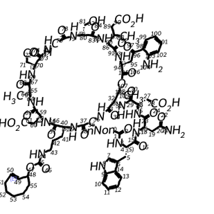 CCCCCCCCCC(=O)N[C@@H](Cc1c[nH]c2ccccc12)C(=O)N[C@H](CC(N)=O)C(=O)N[C@@H](CC(=O)O)C(=O)N[C@@H]1C(=O)NCC(=O)N[C@@H](CCCNC(=O)OC2/C=C/CCCCC2)C(=O)N[C@@H](CC(=O)O)C(=O)N[C@H](C)C(=O)N[C@@H](CC(=O)O)C(=O)NCC(=O)N[C@H](CO)C(=O)N[C@@H](C(C)CC(=O)O)C(=O)N[C@@H](CC(=O)c2ccccc2N)C(=O)O[C@@H]1C